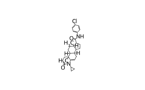 C[C@]12CCC(=O)N(C3CC3)C1=CC[C@@H]1[C@H]2CC[C@]2(C)C(C(=O)Nc3ccc(Cl)cc3)CC[C@@H]12